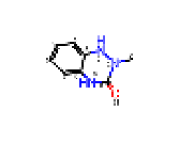 CN1Nc2ccccc2NC1=O